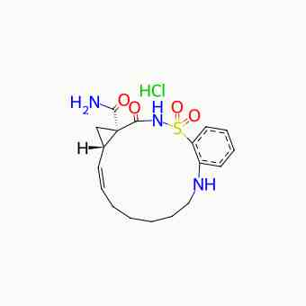 Cl.NC(=O)[C@@]12C[C@H]1/C=C\CCCCCNc1ccccc1S(=O)(=O)NC2=O